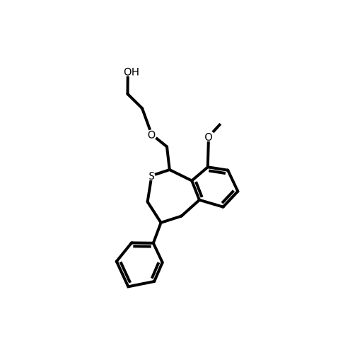 COc1cccc2c1C(COCCO)SCC(c1ccccc1)C2